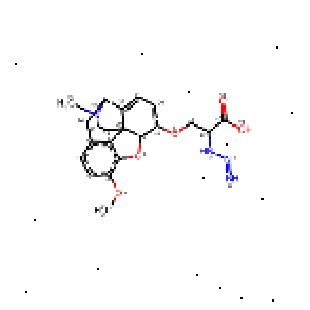 COc1ccc2c3c1OC1C(OCC(NN=N)C(=O)O)=CC=C4C(C2)N(C)CCC431